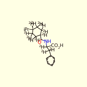 [2H]C(NC(=O)[C@]1([2H])C([2H])([2H])C([2H])([2H])[C@@]([2H])(C(C)C)C([2H])([2H])C1([2H])[2H])(C(=O)O)C([2H])([2H])c1ccccc1